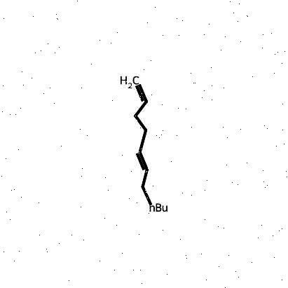 [CH2]CCCCC=CCCC=C